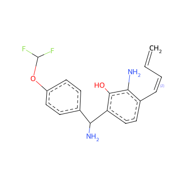 C=C/C=C\c1ccc(C(N)c2ccc(OC(F)F)cc2)c(O)c1N